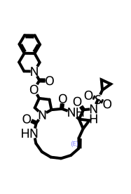 O=C1NC2(C(=O)NS(=O)(=O)C3CC3)CC2/C=C/CCCCCNC(=O)N2CC(OC(=O)N3CCc4ccccc4C3)CC12